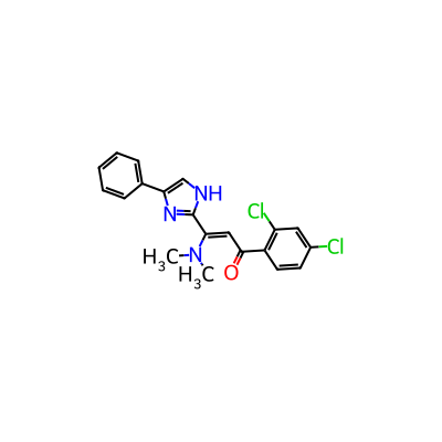 CN(C)C(=CC(=O)c1ccc(Cl)cc1Cl)c1nc(-c2ccccc2)c[nH]1